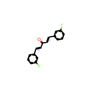 O=C(/C=C/c1cccc(F)c1)/C=C/c1cccc(F)c1